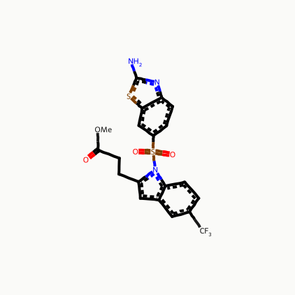 COC(=O)CCc1cc2cc(C(F)(F)F)ccc2n1S(=O)(=O)c1ccc2nc(N)sc2c1